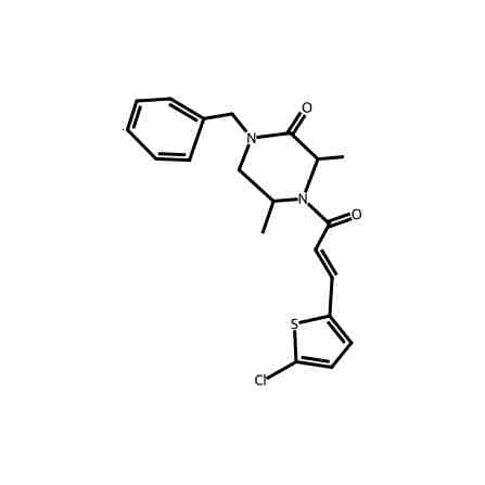 CC1CN(Cc2cc[c]cc2)C(=O)C(C)N1C(=O)C=Cc1ccc(Cl)s1